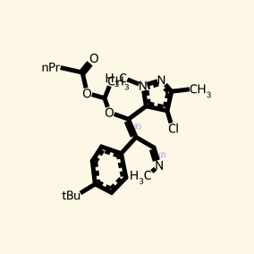 CCCC(=O)OC(C)O/C(=C(/C=N\C)c1ccc(C(C)(C)C)cc1)c1c(Cl)c(C)nn1C